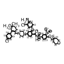 CC1(C)CCC(CN2CCN(c3ccc(C(=O)NS(=O)(=O)c4ccc(OCC5(F)CCOCC5)c([N+](=O)[O-])c4)c(Oc4cnc(N)c(Cl)c4)c3)CC2)=C(c2ccc(Cl)cc2)C1